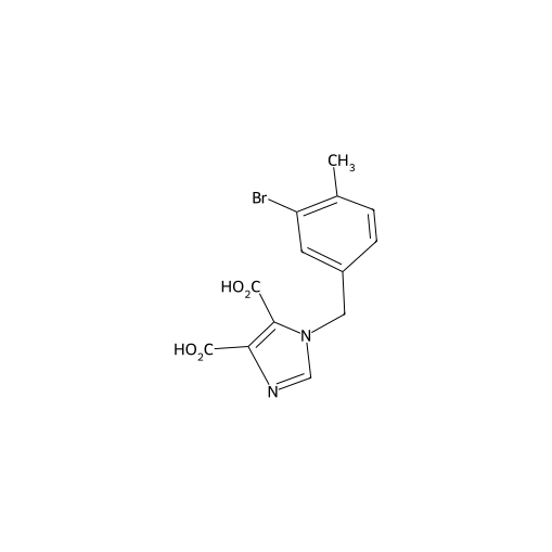 Cc1ccc(Cn2cnc(C(=O)O)c2C(=O)O)cc1Br